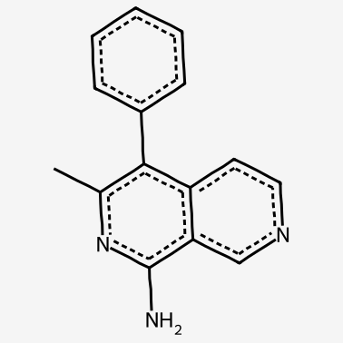 Cc1nc(N)c2cnccc2c1-c1ccccc1